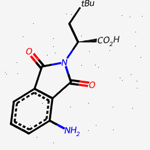 CC(C)(C)C[C@@H](C(=O)O)N1C(=O)c2cccc(N)c2C1=O